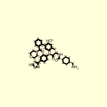 Cl.NC[C@H]1CC[C@H](C(=O)N[C@@H](Cc2ccc(-c3ccccc3C(=O)N3CCOCC3)cc2)C(=O)Nc2ccc(-c3nn[nH]n3)cc2)CC1